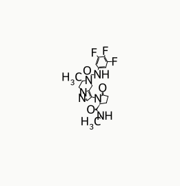 CNC(=O)[C@@H]1CCC(=O)N1c1cnn2c1CN(C(=O)Nc1cc(F)c(F)c(F)c1)[C@@H](C)C2